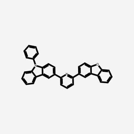 c1ccc(-n2c3ccccc3c3cc(-c4cccc(-c5ccc6oc7ccccc7c6c5)n4)ccc32)cc1